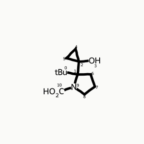 CC(C)(C)C1(C2(O)CC2)CCCN1C(=O)O